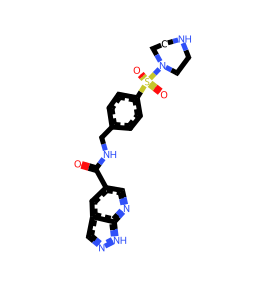 O=C(NCc1ccc(S(=O)(=O)N2CCNCC2)cc1)c1cnc2[nH]ncc2c1